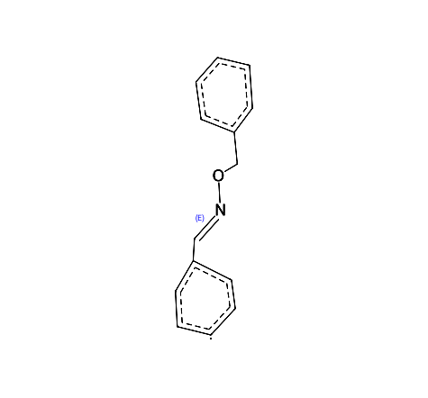 [c]1ccc(/C=N/OCc2ccccc2)cc1